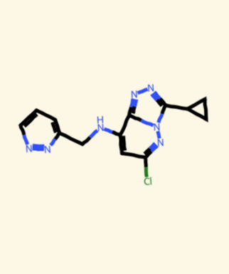 Clc1cc(NCc2cccnn2)c2nnc(C3CC3)n2n1